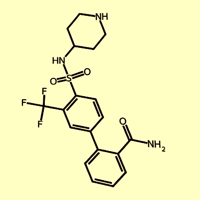 NC(=O)c1ccccc1-c1ccc(S(=O)(=O)NC2CCNCC2)c(C(F)(F)F)c1